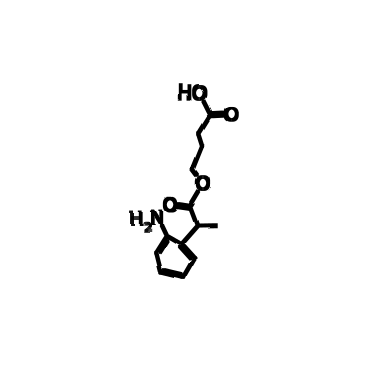 CC(C(=O)OCCCC(=O)O)c1ccccc1N